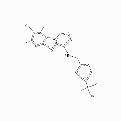 Cc1nc2sc3c(NCc4ccc(C(C)(C)O)cc4)nccc3c2c(C)c1Cl